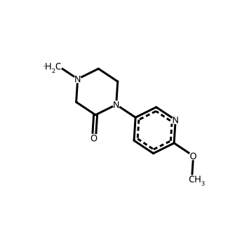 [CH2]N1CCN(c2ccc(OC)nc2)C(=O)C1